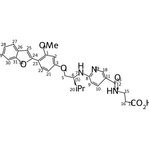 COc1cc(OC[C@@H](Nc2ccc(C(=O)NCCC(=O)O)cn2)C(C)C)ccc1-c1cc2ccccc2o1